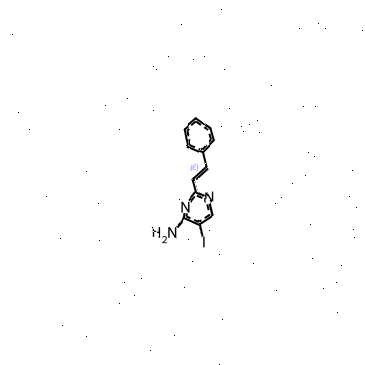 Nc1nc(/C=C/c2ccccc2)ncc1I